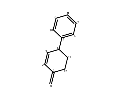 C=C1C=CC(c2ccccc2)CC1